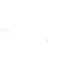 Nc1ccc(-c2ccc3c(n2)CCCC3)cc1